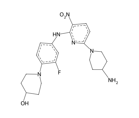 NC1CCN(c2ccc([N+](=O)[O-])c(Nc3ccc(N4CCC(O)CC4)c(F)c3)n2)CC1